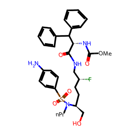 CCCN([C@H](CO)CC[C@@H](F)CNC(=O)[C@@H](NC(=O)OC)C(c1ccccc1)c1ccccc1)S(=O)(=O)c1ccc(N)cc1